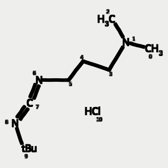 CN(C)CCCN=C=NC(C)(C)C.Cl